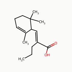 CCCC(=CC1C(C)=CCCC1(C)C)C(=O)O